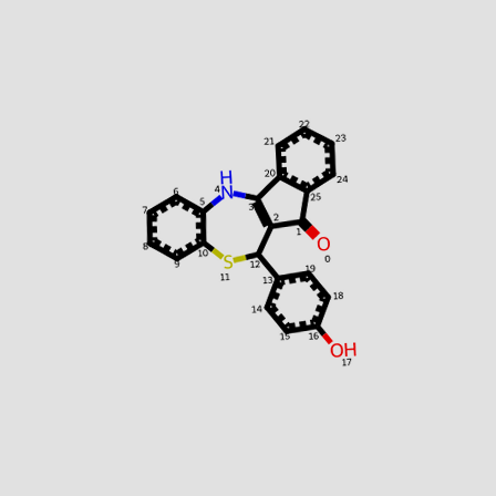 O=C1C2=C(Nc3ccccc3SC2c2ccc(O)cc2)c2ccccc21